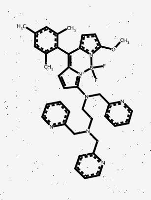 COc1ccc2n1[B-](F)(F)[N+]1=C(N(CCN(Cc3ccccn3)Cc3ccccn3)Cc3ccccn3)C=CC1=C2c1c(C)cc(C)cc1C